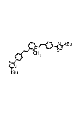 C[n+]1c(/C=C/c2ccc(-c3nc(C(C)(C)C)cs3)cc2)cccc1/C=C/c1ccc(-c2nc(C(C)(C)C)cs2)cc1